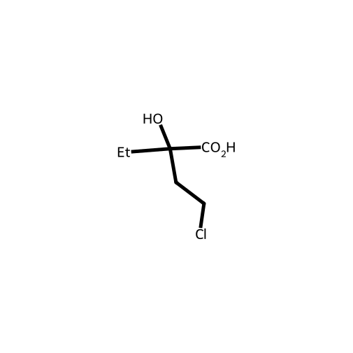 CCC(O)(CCCl)C(=O)O